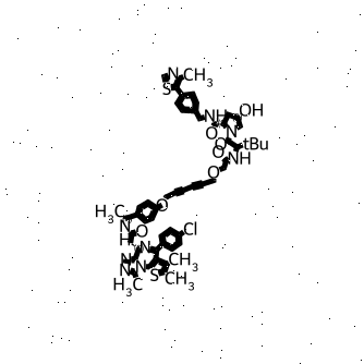 Cc1ncsc1-c1ccc(CNC(=O)[C@@H]2C[C@@H](O)CN2C(=O)C(NC(=O)COCC#CC#CCOc2ccc([C@@H](C)NC(=O)C[C@@H]3N=C(c4ccc(Cl)cc4)c4c(sc(C)c4C)-n4c(C)nnc43)cc2)C(C)(C)C)cc1